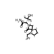 CC(C)CN1CCC[C@@]12CN([C@H](C(N)=O)C(C)(C)O)C2=O